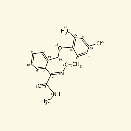 CNC(=O)/C(=N/OC)c1ccccc1COc1ccc(Cl)cc1C